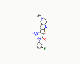 CC(C)N1CCc2nc3sc(C(=O)Nc4cccc(F)c4)c(N)c3cc2C1